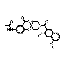 COc1cc2c(OC)cccc2cc1C(=O)N1CCC2(CC1)NC(=O)c1cc(NC(C)=O)ccc1O2